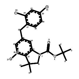 CC(C)(C)OC(=O)N1CC(C)(C)c2c1cc(Cc1ccc(Cl)cc1Cl)c[n+]2[O-]